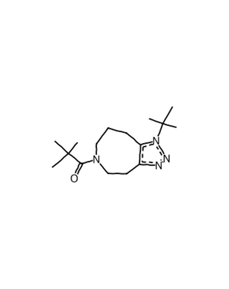 CC(C)(C)C(=O)N1CCCc2c(nnn2C(C)(C)C)CC1